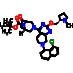 CN1CCC[C@H]1COc1nc2c(c(N3CC4C(=O)C[C@H](C3)N4C(=O)OC(C)(C)C)n1)CCN(c1cccc3cccc(Cl)c13)C2